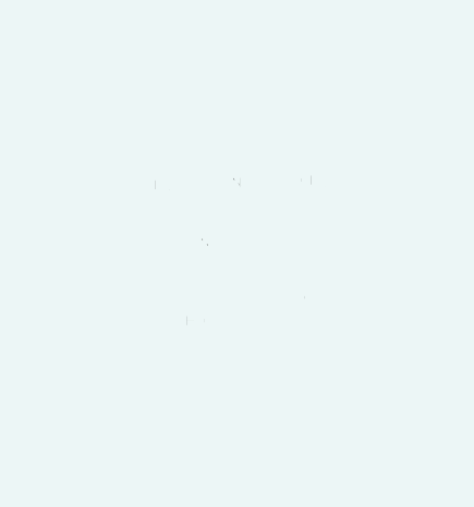 COc1nc(C)nc(C)c1CO